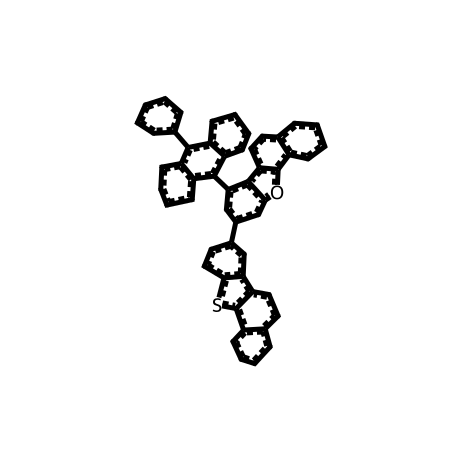 c1ccc(-c2c3ccccc3c(-c3cc(-c4ccc5sc6c7ccccc7ccc6c5c4)cc4oc5c6ccccc6ccc5c34)c3ccccc23)cc1